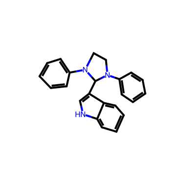 c1ccc(N2CCN(c3ccccc3)C2c2c[nH]c3ccccc23)cc1